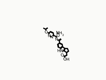 C=C(/N=C(\ON)c1ccc(OC(C)C)nn1)c1ccc2[nH]c3c(c2c1)CCC3CC(=O)O